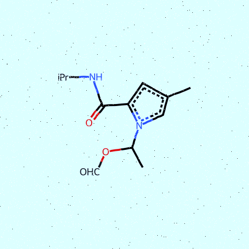 Cc1cc(C(=O)NC(C)C)n(C(C)OC=O)c1